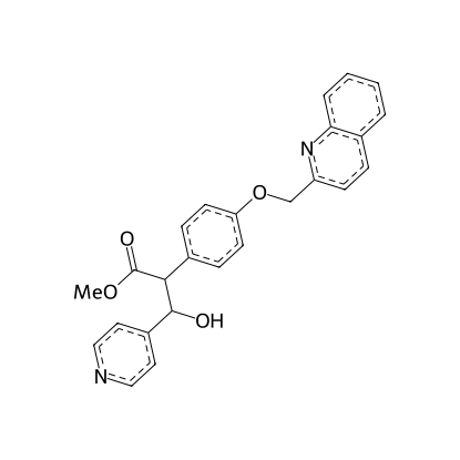 COC(=O)C(c1ccc(OCc2ccc3ccccc3n2)cc1)C(O)c1ccncc1